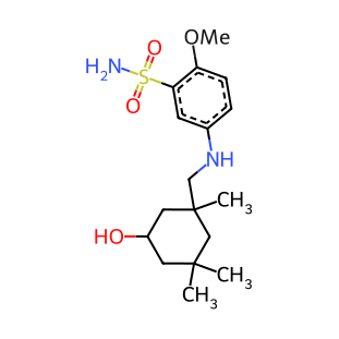 COc1ccc(NCC2(C)CC(O)CC(C)(C)C2)cc1S(N)(=O)=O